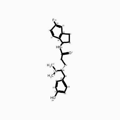 CN(C)[C@H](CCC(=O)NC1CCc2cc(F)ccc21)Cc1ccc(O)cc1